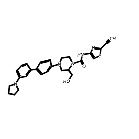 C#Cc1nc(NC(=O)N2CCN(c3ccc(-c4cccc(N5CCCC5)c4)cc3)CC2CO)cs1